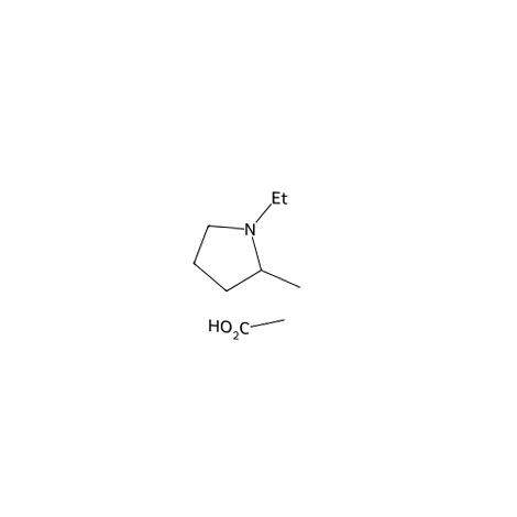 CC(=O)O.CCN1CCCC1C